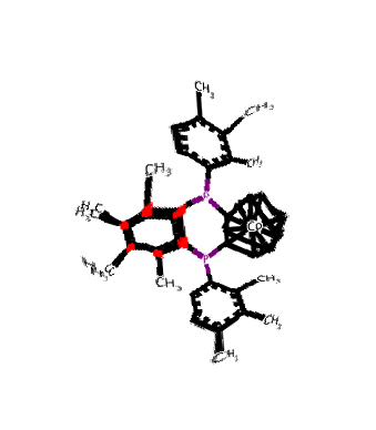 Cc1ccc(P(c2ccc(C)c(C)c2C)[C]23[CH]4[CH]5[CH]6[C]2(P(c2ccc(C)c(C)c2C)c2ccc(C)c(C)c2C)[Co]54632789[CH]3[CH]2[CH]7[CH]8[CH]39)c(C)c1C